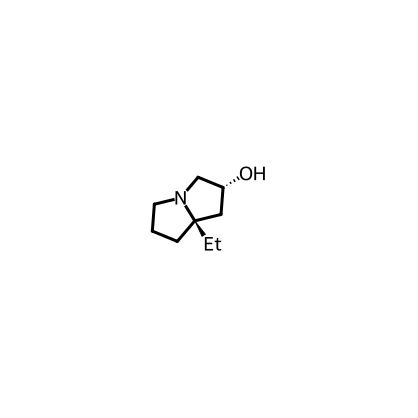 CC[C@@]12CCCN1C[C@H](O)C2